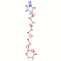 C1CCC(OCCOCCOCCO[C@H]2CCNC2)OC1